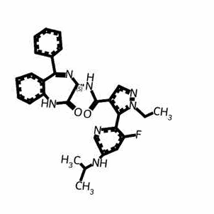 CCn1ncc(C(=O)N[C@H]2N=C(c3ccccc3)c3ccccc3NC2=O)c1-c1ncc(NC(C)C)cc1F